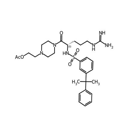 CC(=O)OCCN1CCN(C(=O)[C@H](CCCNC(=N)N)NS(=O)(=O)c2cccc(C(C)(C)c3ccccc3)c2)CC1